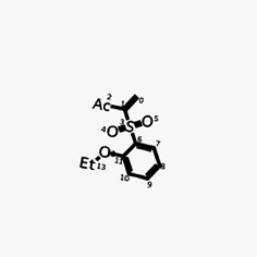 C=C(C(C)=O)S(=O)(=O)c1ccccc1OCC